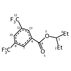 CCC(CC)OC(=O)c1cc(C(F)(F)F)cc(C(F)(F)F)c1